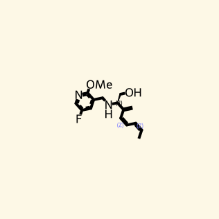 C=C(/C=C\C=C/C)[C@H](CO)NCc1cc(F)cnc1OC